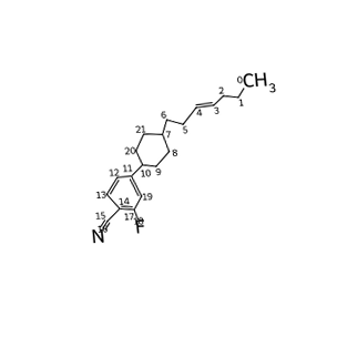 CCCC=CCCC1CCC(c2ccc(C#N)c(F)c2)CC1